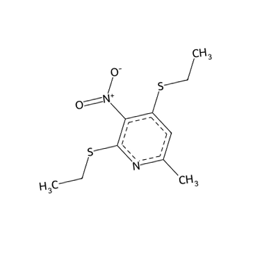 CCSc1cc(C)nc(SCC)c1[N+](=O)[O-]